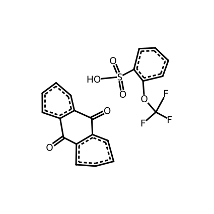 O=C1c2ccccc2C(=O)c2ccccc21.O=S(=O)(O)c1ccccc1OC(F)(F)F